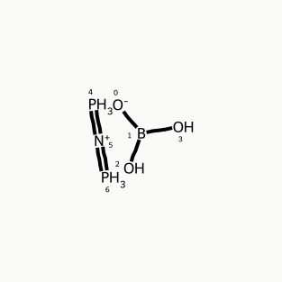 [O-]B(O)O.[PH3]=[N+]=[PH3]